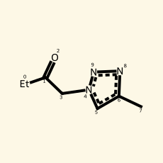 CCC(=O)Cn1cc(C)nn1